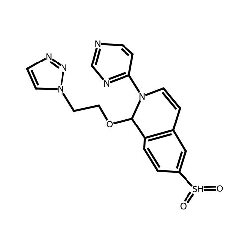 O=[SH](=O)c1ccc2c(c1)C=CN(c1ccncn1)C2OCCn1ccnn1